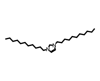 CCCCCCCCCCCN1C=CN(CCCCCCCCCCC)C1